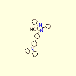 N#Cc1c(-c2ccccc2)nc(-c2ccccc2)nc1-c1ccc(-c2ccc(-n3c4c(c5ccccc53)C=CCC4)cc2)cc1